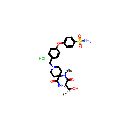 CCCCN1C(=O)[C@@H]([C@H](O)C(C)C)NC(=O)C12CCN(Cc1ccc(Oc3ccc(S(N)(=O)=O)cc3)cc1)CC2.Cl